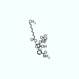 CCCCCCCCCC(=O)OC[C@H]1O[C@@H]([n+]2cccc(C(N)=O)c2)[C@H](O)[C@@H]1O.O=C([O-])C(F)(F)F